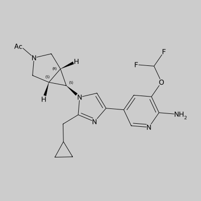 CC(=O)N1C[C@@H]2[C@H](C1)[C@H]2n1cc(-c2cnc(N)c(OC(F)F)c2)nc1CC1CC1